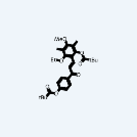 CCOc1c(C)c(OC)c(C)c(OC(=O)C(C)(C)C)c1C=CC(=O)c1ccc(OC(=O)C(C)(C)C)cc1